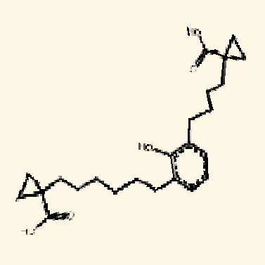 O=C(O)C1(CCCCCCc2cccc(CCCCC3(C(=O)O)CC3)c2O)CC1